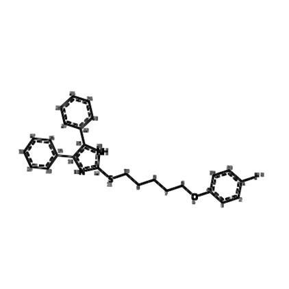 Fc1ccc(OCCCCCSc2nc(-c3ccccc3)c(-c3ccccc3)[nH]2)cc1